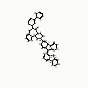 CC1C(C2C=C(C3C=CC=CC3)C=CC2)Cc2ccccc2C2CC(C3=CC4c5ccccc5N(c5cccc6c5sc5ccccc56)C4C=C3)CCC21